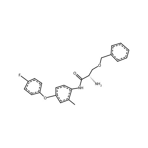 Cc1cc(Oc2ccc(F)cc2)ccc1NC(=O)[C@@H](N)COCc1ccccc1